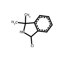 CC1(C)NC(Cl)c2ccccc21